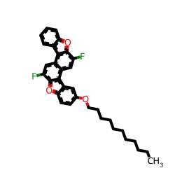 CCCCCCCCCCCOc1ccc2oc3c(F)cc4c(cc(F)c5oc6ccccc6c54)c3c2c1